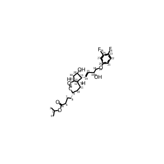 CC(C)OC(=O)CCC[C@H]1CC[C@@H]2[C@@H](/C=C/[C@@H](O)COc3ccc(F)c(F)c3)[C@H](O)C[C@@H]2OC1